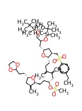 C=C(CC[C@@H]1O[C@H](CC(CO[Si](C)(C)C(C)(C)C)O[Si](C)(C)C(C)(C)C)C[C@H]1CS(=O)(=O)c1ccc(CC)cc1)C(=C)C[C@@H](CC[C@@H]1O[C@@H](CCC2OCCO2)CC1=C)OS(C)(=O)=O